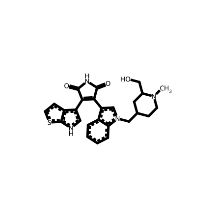 CN1CCC(Cn2cc(C3=C(c4c[nH]c5sccc45)C(=O)NC3=O)c3ccccc32)CC1CO